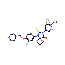 N#Cc1ncc(N2C(=O)C3(CCC3)N(c3ccc(OCc4ccncc4)c(F)c3)C2=S)cc1C(F)(F)F